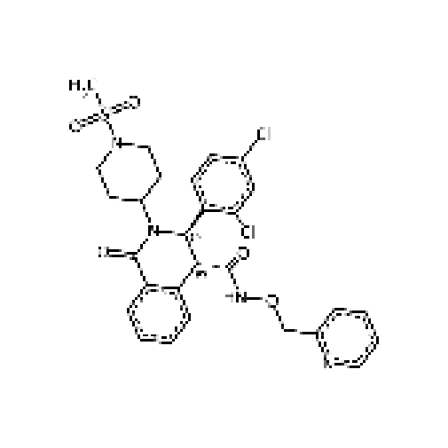 CS(=O)(=O)N1CCC(N2C(=O)c3ccccc3[C@@H](C(=O)NOCc3ccccn3)[C@@H]2c2ccc(Cl)cc2Cl)CC1